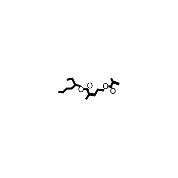 C=C(C)C(=O)OCCC=C(C)C(=O)OCC(CC)CCCC